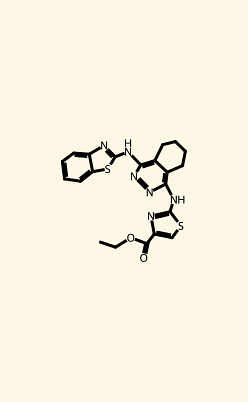 CCOC(=O)c1csc(Nc2nnc(Nc3nc4ccccc4s3)c3c2CCCC3)n1